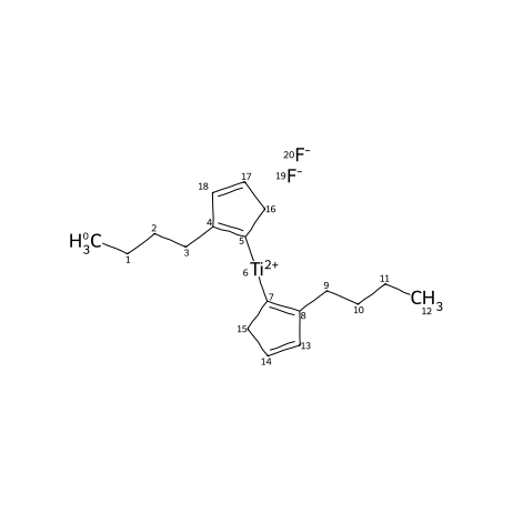 CCCCC1=[C]([Ti+2][C]2=C(CCCC)C=CC2)CC=C1.[F-].[F-]